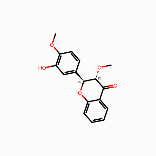 COc1ccc([C@@H]2Oc3ccccc3C(=O)[C@H]2OC)cc1O